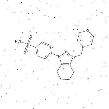 NS(=O)(=O)c1ccc(-n2nc(CN3CCOCC3)c3c2CCCC3)cc1